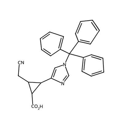 N#CCC1C(C(=O)O)C1c1cn(C(c2ccccc2)(c2ccccc2)c2ccccc2)cn1